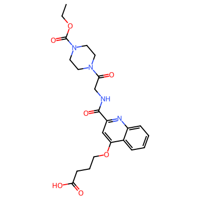 CCOC(=O)N1CCN(C(=O)CNC(=O)c2cc(OCCCC(=O)O)c3ccccc3n2)CC1